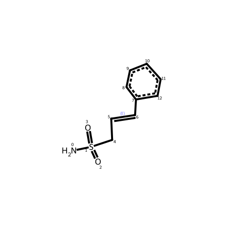 NS(=O)(=O)C/C=C/c1ccccc1